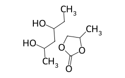 CC1COC(=O)O1.CCC(O)CC(C)O